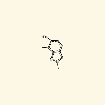 Cc1c(C(C)C)ccc2cn(C)nc12